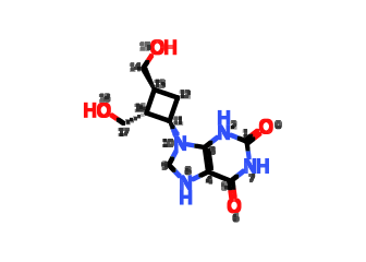 O=c1[nH]c2c(c(=O)[nH]1)NCN2[C@@H]1C[C@H](CO)[C@H]1CO